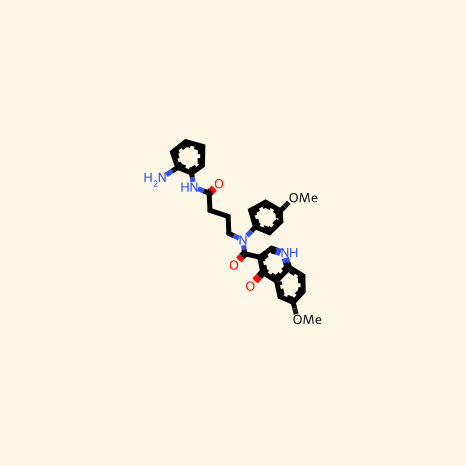 COc1ccc(N(CCCC(=O)Nc2ccccc2N)C(=O)c2c[nH]c3ccc(OC)cc3c2=O)cc1